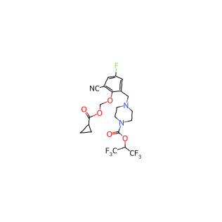 N#Cc1cc(F)cc(CN2CCN(C(=O)OC(C(F)(F)F)C(F)(F)F)CC2)c1OCOC(=O)C1CC1